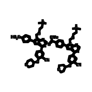 COC(=O)c1ccc(-c2cc3c(-c4ccc(OC5CCOCC5)c(C#N)c4)ncnc3n2COCC[Si](C)(C)C)cc1.C[Si](C)(C)CCOCn1c(-c2ccc(C(=O)O)cc2)cc2c(-c3ccc(OC4CCOCC4)c(C#N)c3)ncnc21